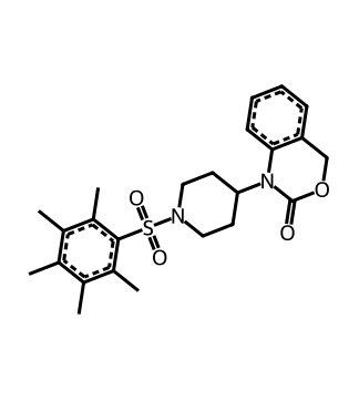 Cc1c(C)c(C)c(S(=O)(=O)N2CCC(N3C(=O)OCc4ccccc43)CC2)c(C)c1C